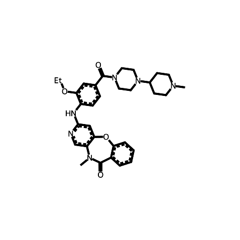 CCOc1cc(C(=O)N2CCN(C3CCN(C)CC3)CC2)ccc1Nc1cc2c(cn1)N(C)C(=O)c1ccccc1O2